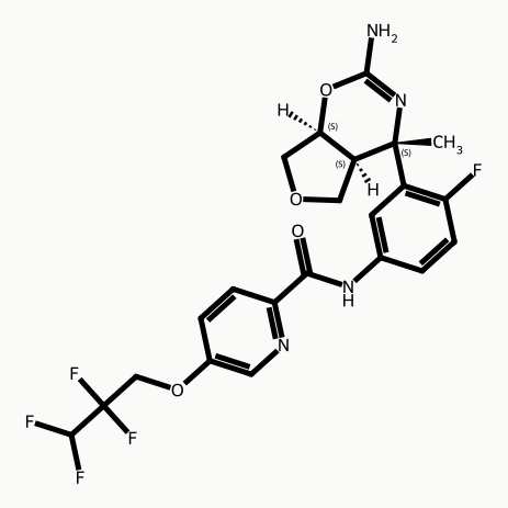 C[C@]1(c2cc(NC(=O)c3ccc(OCC(F)(F)C(F)F)cn3)ccc2F)N=C(N)O[C@@H]2COC[C@@H]21